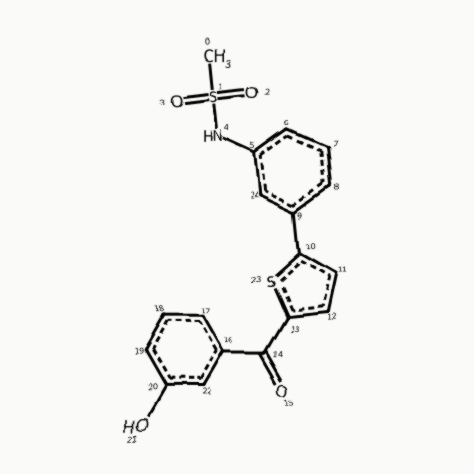 CS(=O)(=O)Nc1cccc(-c2ccc(C(=O)c3cccc(O)c3)s2)c1